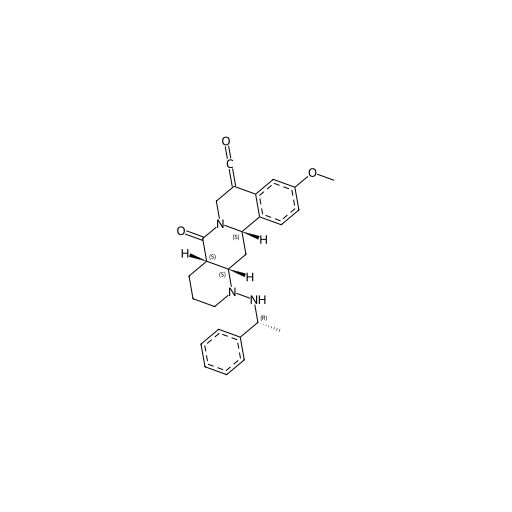 COc1ccc2c(c1)C(=C=O)CN1C(=O)[C@H]3CCCN(N[C@H](C)c4ccccc4)[C@H]3C[C@@H]21